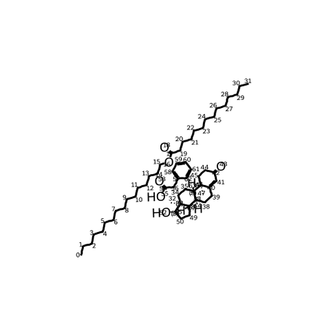 CCCCCCCCCCCCCCCCOC(=O)CCCCCCCCCCCCC.C[C@]12CC[C@H]3[C@@H](CCC4=CC(=O)CC[C@@]43C)[C@@H]1CC[C@@H]2O.O=C(O)Cc1ccccc1